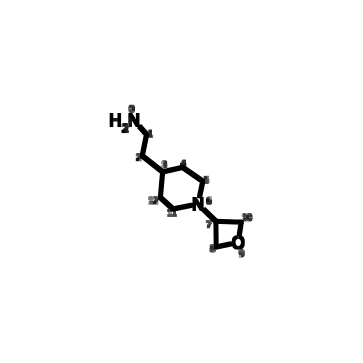 NCCC1CCN(C2COC2)CC1